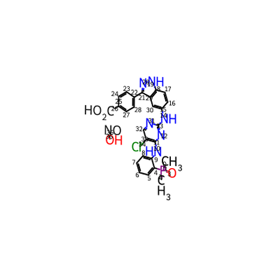 CP(C)(=O)c1ccccc1Nc1nc(Nc2ccc3[nH]nc(-c4ccc(C(=O)O)cc4)c3c2)ncc1Cl.O=NO